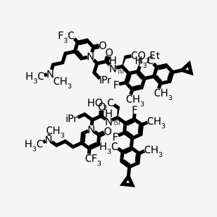 CCOC(=O)C[C@H](NC(=O)C(CC(C)C)n1cc(CCCN(C)C)c(C(F)(F)F)cc1=O)c1c(F)c(C)cc(-c2c(C)cc(C3CC3)cc2C)c1F.Cc1cc(-c2c(C)cc(C3CC3)cc2C)c(F)c([C@H](CC(=O)O)NC(=O)C(CC(C)C)n2cc(CCCN(C)C)c(C(F)(F)F)cc2=O)c1F